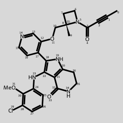 CC#CC(=O)N1CC[C@@]1(C)COc1cnccc1-c1[nH]c2c(c1Nc1cccc(Cl)c1OC)C(=O)NCC2